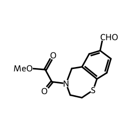 COC(=O)C(=O)N1CCSc2ccc(C=O)cc2C1